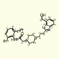 CC(C)c1cccc(C(C)C)c1NC(=O)CN1CCN(CCSc2nc3cccc(CO)c3o2)CC1